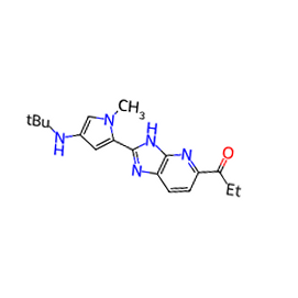 CCC(=O)c1ccc2nc(-c3cc(NC(C)(C)C)cn3C)[nH]c2n1